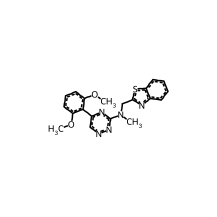 COc1cccc(OC)c1-c1cnnc(N(C)Cc2nc3ccccc3s2)n1